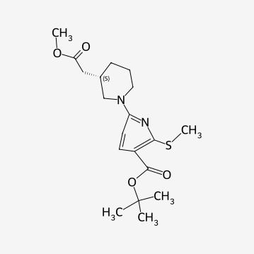 COC(=O)C[C@@H]1CCCN(c2ccc(C(=O)OC(C)(C)C)c(SC)n2)C1